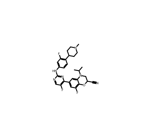 CC(C)N1CC(C#N)Oc2c(F)cc(-c3nc(Nc4ccc(C5CCN(C)CC5)c(F)c4)ncc3F)cc21